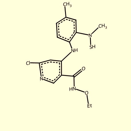 CCONC(=O)c1cnc(Cl)cc1Nc1ccc(C)cc1N(C)S